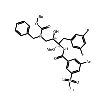 CO[C@](Cc1cc(F)cc(F)c1)(NC(=O)c1cc(C(C)=O)cc(S(C)(=O)=O)c1)[C@H](O)CN(Cc1ccccc1)C(=O)OC(C)(C)C